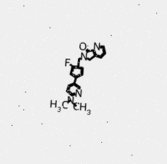 CN(C)c1ccc(-c2ccc(CN3Cc4cccnc4C3=O)c(F)c2)cn1